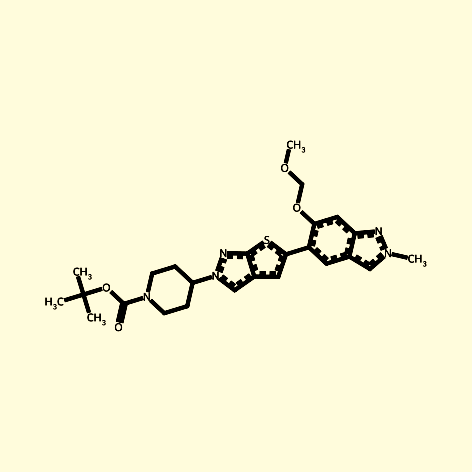 COCOc1cc2nn(C)cc2cc1-c1cc2cn(C3CCN(C(=O)OC(C)(C)C)CC3)nc2s1